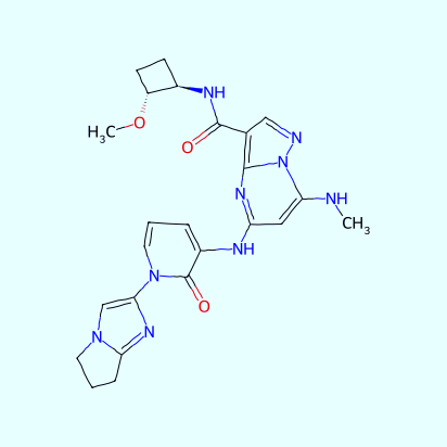 CNc1cc(Nc2cccn(-c3cn4c(n3)CCC4)c2=O)nc2c(C(=O)N[C@@H]3CC[C@H]3OC)cnn12